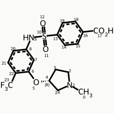 CN1CC[C@@H](Oc2cc(NS(=O)(=O)c3ccc(C(=O)O)cc3)ccc2C(F)(F)F)C1